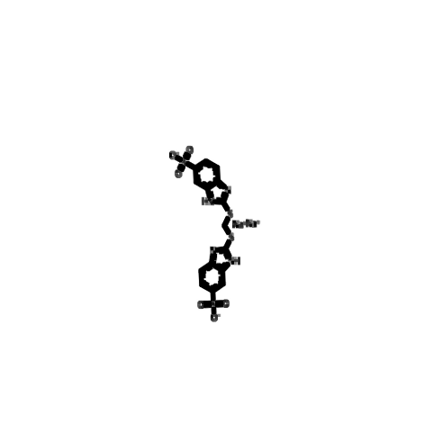 O=S(=O)([O-])c1ccc2nc(SCSc3nc4ccc(S(=O)(=O)[O-])cc4[nH]3)[nH]c2c1.[Na+].[Na+]